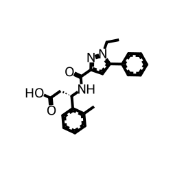 CCn1nc(C(=O)N[C@@H](CC(=O)O)c2ccccc2C)cc1-c1ccccc1